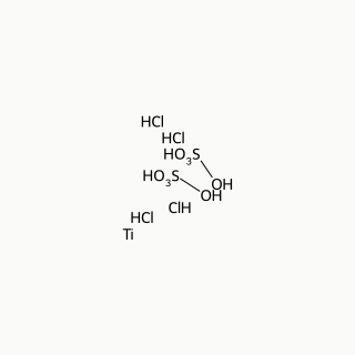 Cl.Cl.Cl.Cl.O=S(=O)(O)O.O=S(=O)(O)O.[Ti]